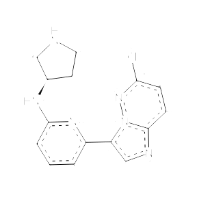 F[C@H]1CNC[C@@H]1Nc1cccc(-c2cnc3ccc(Cl)nn23)n1